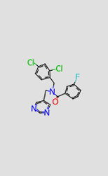 O=C(c1cccc(F)c1)N(Cc1cncnc1)Cc1ccc(Cl)cc1Cl